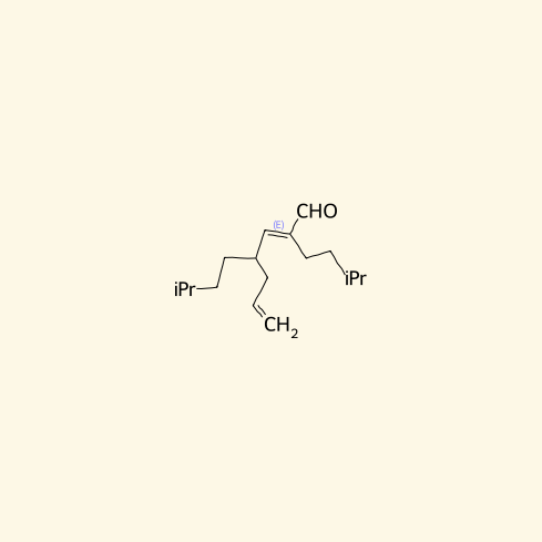 C=CCC(/C=C(/C=O)CCC(C)C)CCC(C)C